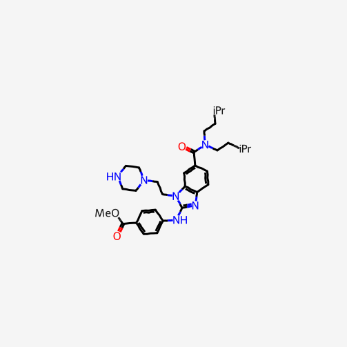 COC(=O)c1ccc(Nc2nc3ccc(C(=O)N(CCC(C)C)CCC(C)C)cc3n2CCN2CCNCC2)cc1